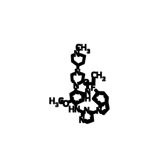 C=CC(=O)Nc1cc(Nc2nccc(-n3ccc4ccc(F)cc43)n2)c(OC)cc1N1CCN(C2CCN(C)CC2)CC1